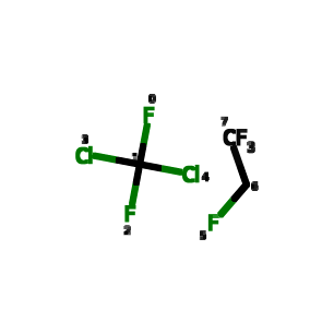 FC(F)(Cl)Cl.FCC(F)(F)F